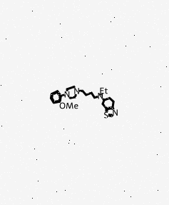 CCN(CCCCN1CCN(c2ccccc2OC)CC1)C1CCc2ncsc2C1